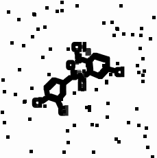 CSc1ccc(Cl)cc1N[S+]([O-])c1ccc(Cl)c(Cl)c1